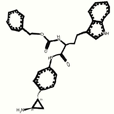 N[C@@H]1C[C@H]1c1ccc(NC(=O)C(CCc2c[nH]c3ccccc23)NC(=O)OCc2ccccc2)cc1